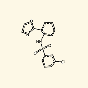 O=S(=O)(Nc1ccccc1-c1ncco1)c1cccc(Cl)c1